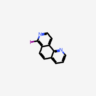 Ic1nccc2c1ccc1cccnc12